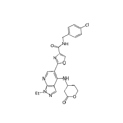 CCn1ncc2c(NC3CCOC(=O)C3)c(-c3nc(C(=O)NCc4ccc(Cl)cc4)co3)cnc21